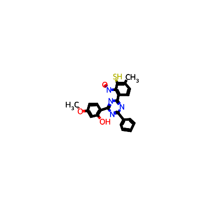 COc1ccc(-c2nc(-c3ccccc3)nc(-c3ccc(C)c(S)c3N=O)n2)c(O)c1